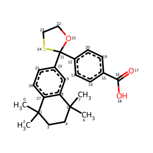 CC1(C)CCC(C)(C)c2cc(C3(c4ccc(C(=O)O)cc4)OCCS3)ccc21